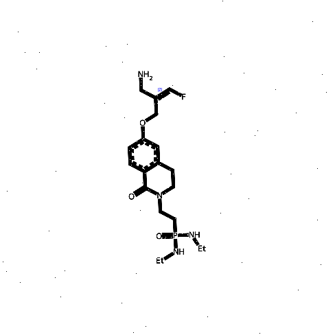 CCNP(=O)(CCN1CCc2cc(OC/C(=C\F)CN)ccc2C1=O)NCC